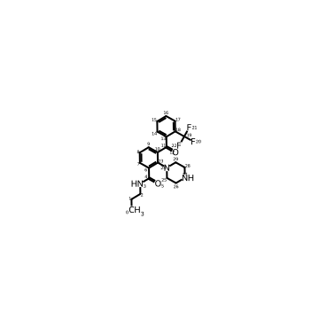 CCCNC(=O)c1cccc(C(=O)c2ccccc2C(F)(F)F)c1N1CCNCC1